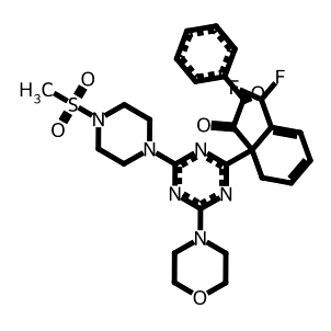 CS(=O)(=O)N1CCN(c2nc(N3CCOCC3)nc(C3(C(=O)C(=O)c4ccccc4)CC=CC=C3C(F)F)n2)CC1